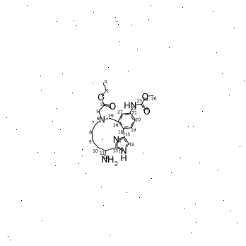 CCOC(=O)CN1CCCCC(N)c2nc(c[nH]2)-c2ccc(NC(=O)OC)cc2C1